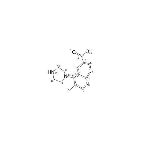 Cc1cnc2ccc([N+](=O)[O-])cc2c1N1CCNCC1